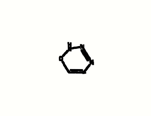 [C]1=CONN=N1